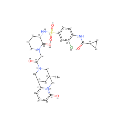 O=C(Nc1ccc(S(=O)(=O)N[C@H]2CCCN(CC(=O)N3CC4C[C@@H](C3)Cn3c4cccc3=O)C2=O)cc1Cl)C1CC1